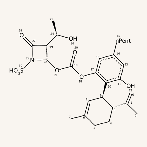 C=C(C)[C@@H]1CCC(C)=C[C@H]1c1c(O)cc(CCCCC)cc1OC(=O)OC1[C@@H]([C@@H](C)O)C(=O)N1S(=O)(=O)O